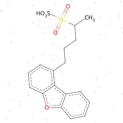 CC(CCCc1cccc2oc3ccccc3c12)S(=O)(=O)S(=O)(=O)O